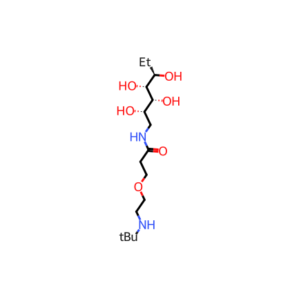 CC[C@@H](O)[C@@H](O)[C@H](O)[C@@H](O)CNC(=O)CCOCCNC(C)(C)C